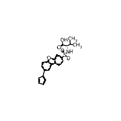 CC(C)[C@H](NS(=O)(=O)c1ccc2c(c1)oc1ccc(C3=C=CC=C3)cc12)C(=O)O